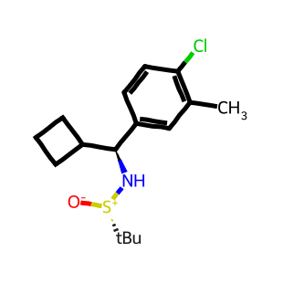 Cc1cc([C@@H](N[S@@+]([O-])C(C)(C)C)C2CCC2)ccc1Cl